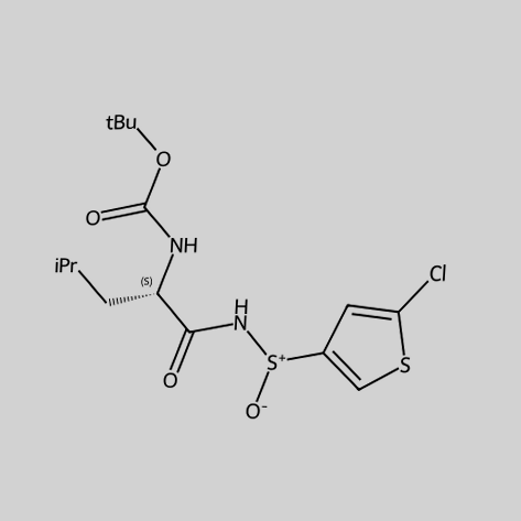 CC(C)C[C@H](NC(=O)OC(C)(C)C)C(=O)N[S+]([O-])c1csc(Cl)c1